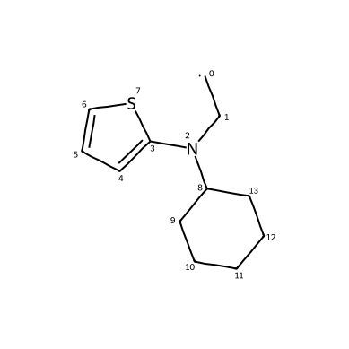 [CH2]CN(c1cccs1)C1CCCCC1